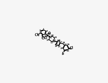 O=S(=O)(c1cccc(Cl)c1Cl)N1CCN(c2nc(Cc3cc(F)cc(Cl)c3)cs2)CC1